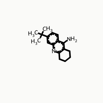 CC(C)(C)c1ccc2c(N)c3c(nc2c1)CCCC3